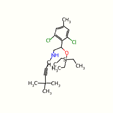 CC[Si](CC)(CC)OC(CNCC#CC(C)(C)C)c1c(Cl)cc(C)cc1Cl